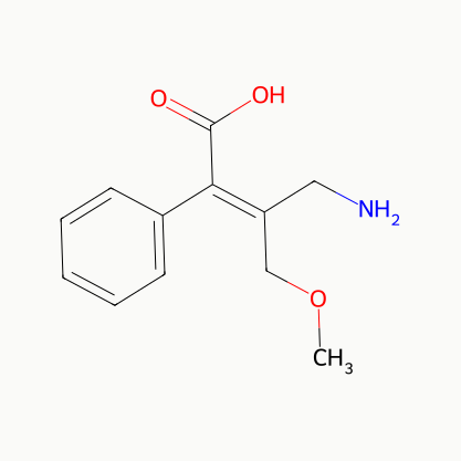 COCC(CN)=C(C(=O)O)c1ccccc1